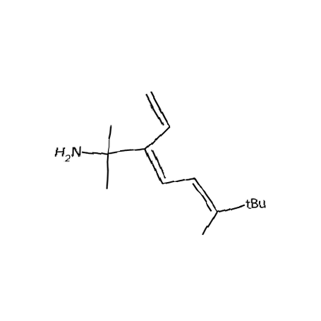 C=C/C(=C\C=C(/C)C(C)(C)C)C(C)(C)N